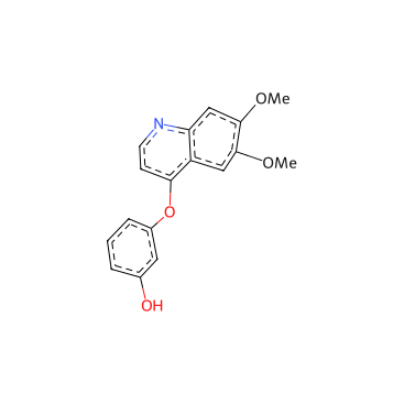 COc1cc2nccc(Oc3cccc(O)c3)c2cc1OC